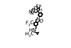 CC(NCc1cc2c(c(C(F)(F)F)c1)CN(c1cccc(C3(Cc4nncn4C)CC(F)(F)C3)c1)C2=O)C1CC1